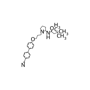 CC(C)(C)CC(=O)NC1CCCN1CCCOc1ccc(-c2ccc(C#N)cc2)cc1